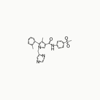 Cc1ccccc1-c1c(C)c(C(=O)Nc2ccc(S(C)(=O)=O)cc2)cn1Cc1cnccn1